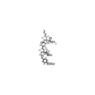 C=CC=C[C@H](C)[C@H](OC(N)=O)[C@@H](C)C(=O)[C@@H](C)CC(C)=C[C@H](C)[C@@H](O[Si](C)(C)C(C)(C)C)[C@@H](C)COCc1ccc(OC)cc1